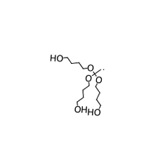 [CH2]C(OCCCCO)(OCCCCO)OCCCCO